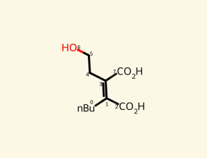 CCCCC(C(=O)O)=C(CCO)C(=O)O